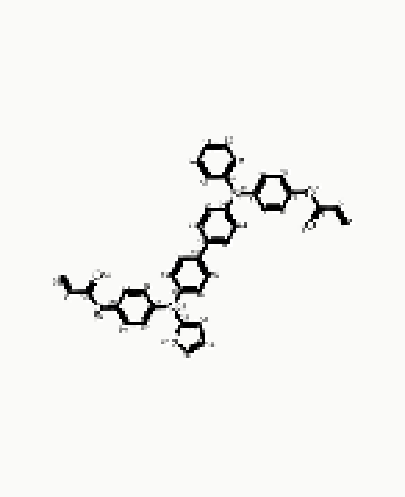 C=CC(=O)Oc1ccc(N(c2ccccc2)c2ccc(-c3ccc(N(c4ccc(OC(=O)C=C)cc4)c4cccs4)cc3)cc2)cc1